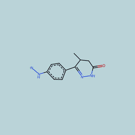 CC1CC(=O)NN=C1c1ccc(N[N])cc1